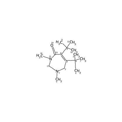 CN1CC(C(C)(C)C)=C(C(C)(C)C)C(=O)N(C)C1